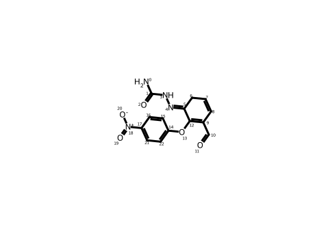 NC(=O)NN=C1CC=CC(C=O)=C1Oc1ccc([N+](=O)[O-])cc1